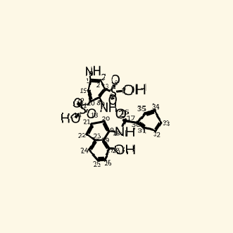 Nc1cc(S(=O)(=O)O)c(N)c(S(=O)(=O)O)c1.O=C(Nc1cccc2cccc(O)c12)c1ccccc1